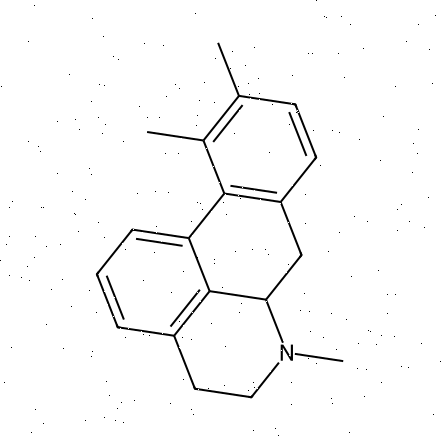 Cc1ccc2c(c1C)-c1cccc3c1C(C2)N(C)CC3